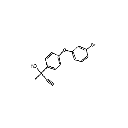 C#CC(C)(O)c1ccc(Oc2cccc(Br)c2)cc1